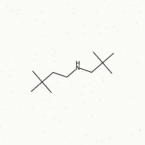 CC(C)(C)CCNCC(C)(C)C